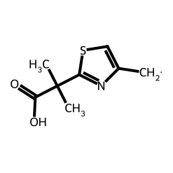 [CH2]c1csc(C(C)(C)C(=O)O)n1